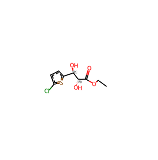 CCOC(=O)[C@H](O)[C@H](O)c1ccc(Cl)s1